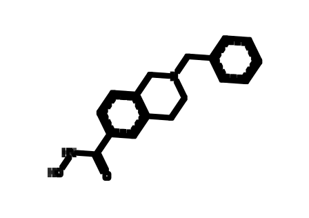 O=C(NO)c1ccc2c(c1)CCN(Cc1ccccc1)C2